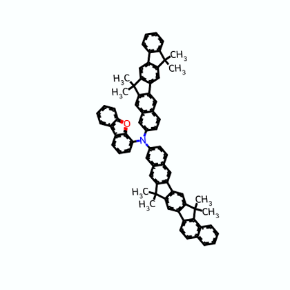 CC1(C)c2ccccc2-c2cc3c(cc21)-c1cc2ccc(N(c4ccc5cc6c(cc5c4)C(C)(C)c4cc5c(cc4-6)C(C)(C)c4c-5ccc5ccccc45)c4cccc5c4oc4ccccc45)cc2cc1C3(C)C